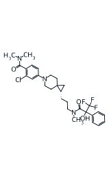 CN(C)C(=O)c1ccc(N2CCC3(CC2)C[C@@H]3CCCN(C)C(=O)C(O)(c2ccccc2)C(F)(F)F)cc1Cl